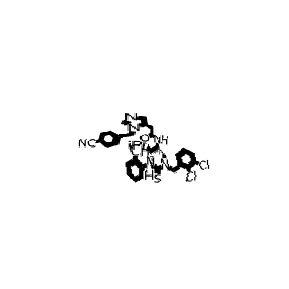 Cc1ccccc1NC(=S)N(Cc1cccc(Cl)c1Cl)C[C@H](CC(C)C)NC(=O)Cc1cncn1Cc1ccc(C#N)cc1